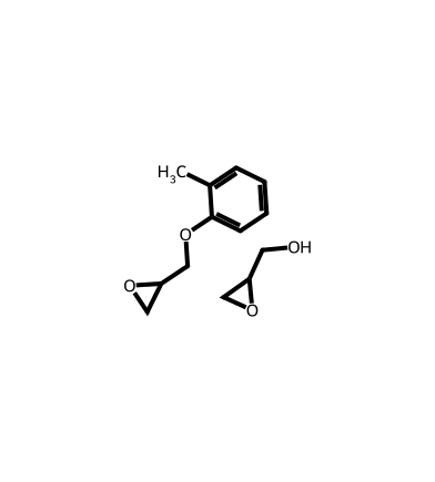 Cc1ccccc1OCC1CO1.OCC1CO1